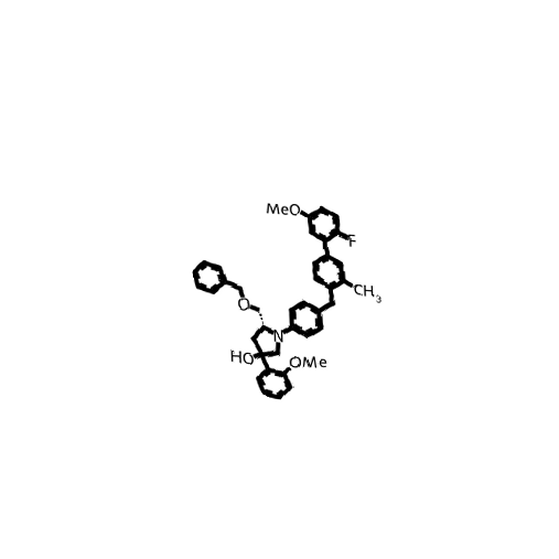 COc1ccc(F)c(-c2ccc(Cc3ccc(N4CC(O)(c5ccccc5OC)C[C@@H]4COCc4ccccc4)cc3)c(C)c2)c1